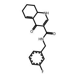 O=C(NCc1cccc(F)c1)C1=CNC2CCCC=C2C1=O